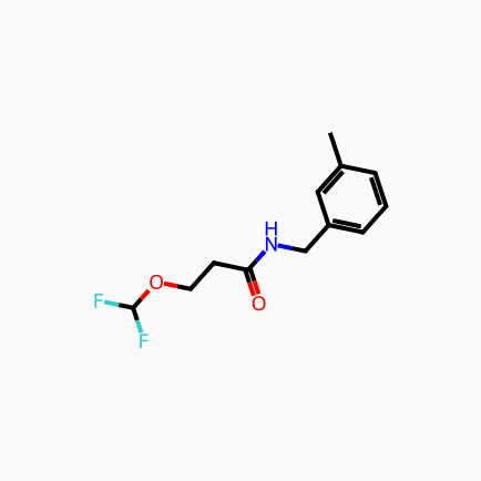 Cc1cccc(CNC(=O)CCOC(F)F)c1